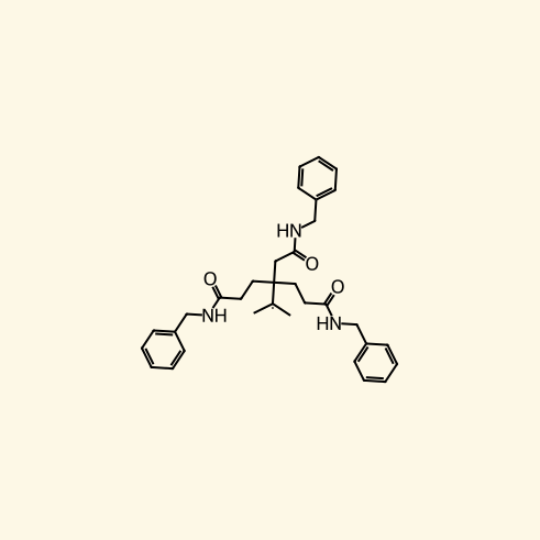 C[C](C)C(CCC(=O)NCc1ccccc1)(CCC(=O)NCc1ccccc1)CC(=O)NCc1ccccc1